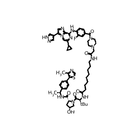 Cc1ncsc1-c1ccc([C@H](C)NC(=O)[C@H]2C[C@H](O)CN2C(=O)[C@@H](NC(=O)CCCCCCCCNC(=O)CN2CCN(C(=O)c3ccc(Nc4nc(C5CC5)cn5c(-c6cn[nH]c6)cnc45)c(F)c3)CC2)C(C)(C)C)cc1